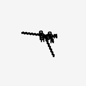 CCCCCCCCCCCCCC(=O)NCC(COC(=O)N(CCN(C)C)CCN(C)C)NC(=O)CCCCCCCCCCCCC